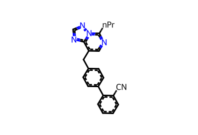 CCCc1ncc(Cc2ccc(-c3ccccc3C#N)cc2)c2ncnn12